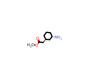 COC(=O)C[C@H]1CCC[C@H](N)C1